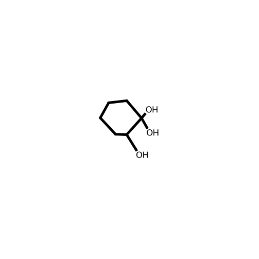 OC1CCCCC1(O)O